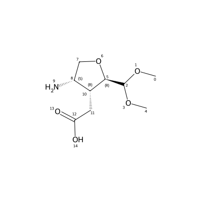 COC(OC)[C@@H]1OC[C@@H](N)[C@H]1CC(=O)O